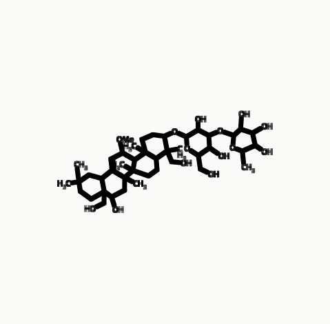 COC1C=C2C3CC(C)(C)CCC3(CO)C(O)CC2(C)C2(C)CCC3C(C)(CO)C(OC4OC(CO)C(O)C(OC5OC(C)C(O)C(O)C5O)C4O)CCC3(C)C12